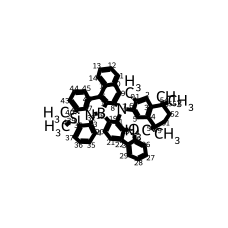 Cc1cc2c(cc1N1c3cc4ccccc4c4c3B(c3ccc5c(oc6ccccc65)c31)N1c3ccccc3[Si](C)(C)c3cccc-4c31)C(C)(C)CCC2(C)C